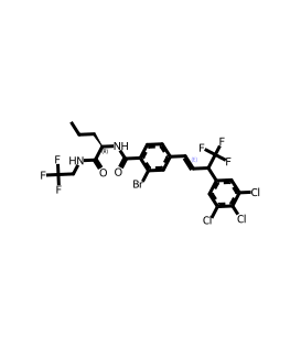 CCC[C@@H](NC(=O)c1ccc(/C=C/C(c2cc(Cl)c(Cl)c(Cl)c2)C(F)(F)F)cc1Br)C(=O)NCC(F)(F)F